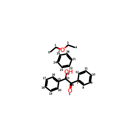 CCOCC.O=C(c1ccccc1)C(O)c1ccccc1.c1ccccc1